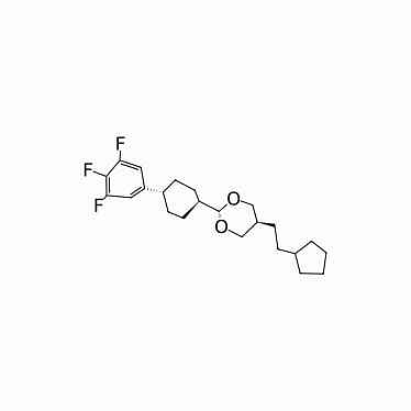 Fc1cc([C@H]2CC[C@H]([C@H]3OC[C@H](CCC4CCCC4)CO3)CC2)cc(F)c1F